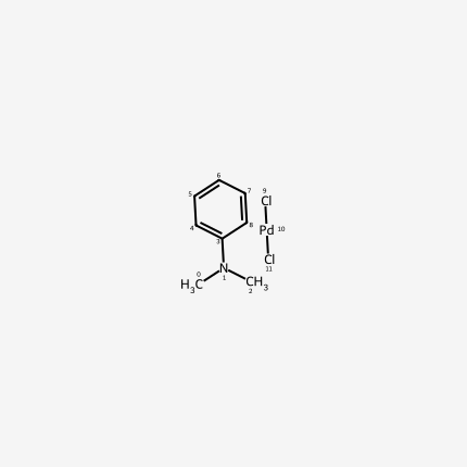 CN(C)c1ccccc1.[Cl][Pd][Cl]